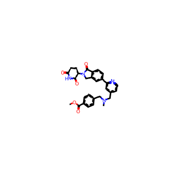 COC(=O)c1ccc(CN(C)Cc2ccnc(-c3ccc4c(c3)CN(C3CCC(=O)NC3=O)C4=O)c2)cc1